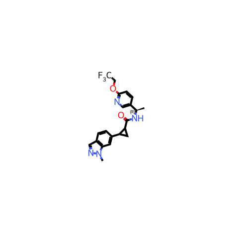 C[C@@H](NC(=O)C1CC1c1ccc2cnn(C)c2c1)c1ccc(OCC(F)(F)F)nc1